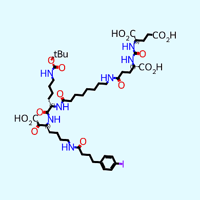 CC(C)(C)OC(=O)NCCCC[C@H](NC(=O)CCCCCCCNC(=O)CC[C@H](NC(=O)N[C@@H](CCC(=O)O)C(=O)O)C(=O)O)C(=O)N[C@@H](CCCCNC(=O)CCCc1ccc(I)cc1)C(=O)C(=O)O